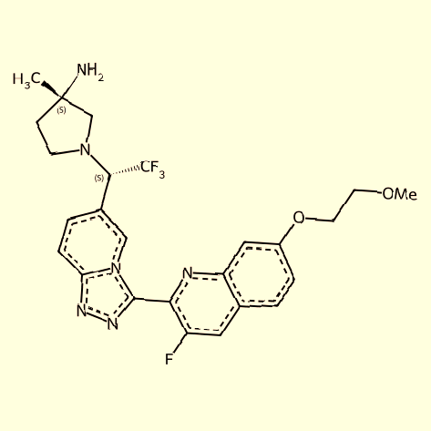 COCCOc1ccc2cc(F)c(-c3nnc4ccc([C@H](N5CC[C@](C)(N)C5)C(F)(F)F)cn34)nc2c1